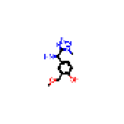 COCc1cc(C(=N)c2nnnn2C)ccc1O